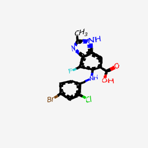 Cc1nc2c(F)c(Nc3ccc(Br)cc3Cl)c(C(=O)O)cc2[nH]1